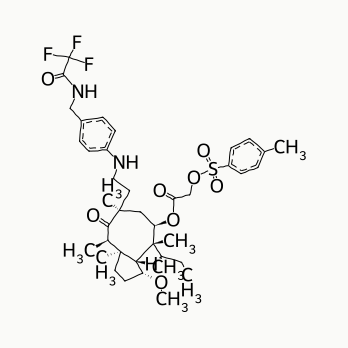 CC[C@@H](C)[C@]1(C)[C@@H]2[C@H](OC)CC[C@@]2(C)[C@@H](C)C(=O)[C@@](C)(CCNc2ccc(CNC(=O)C(F)(F)F)cc2)C[C@H]1OC(=O)COS(=O)(=O)c1ccc(C)cc1